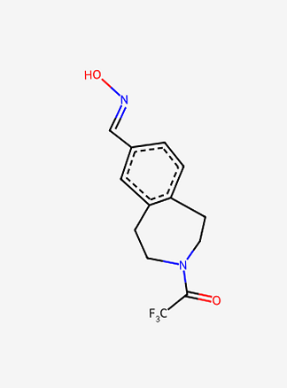 O=C(N1CCc2ccc(C=NO)cc2CC1)C(F)(F)F